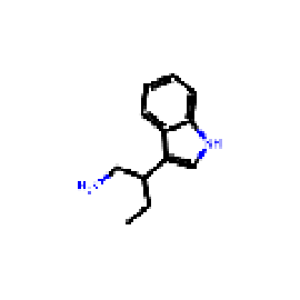 CCC(CN)c1c[nH]c2ccccc12